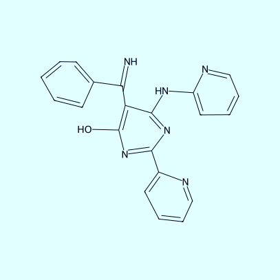 N=C(c1ccccc1)c1c(O)nc(-c2ccccn2)nc1Nc1ccccn1